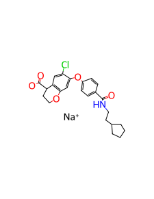 O=C(NCCC1CCCC1)c1ccc(Oc2cc3c(cc2Cl)C(C(=O)[O-])CCO3)cc1.[Na+]